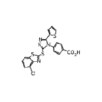 O=C(O)c1ccc(-n2c(Sc3nc4c(Cl)cccc4s3)nnc2-c2cccs2)cc1